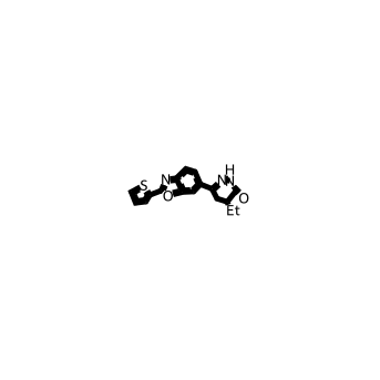 CCC1CC(c2ccc3nc(-c4cccs4)oc3c2)=NNC1=O